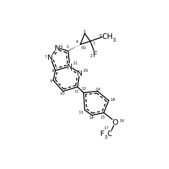 CC1(F)C[C@H]1c1nnc2ccc(-c3ccc(OC(F)(F)F)cc3)nn12